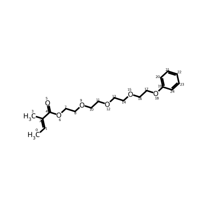 CC=C(C)C(=O)OCCOCCOCCOCCOc1ccccc1